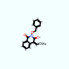 COC=C1C(=O)N(OCc2ccccc2)C(=O)c2ccccc21